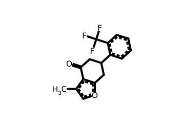 Cc1coc2c1C(=O)CC(c1ccccc1C(F)(F)F)C2